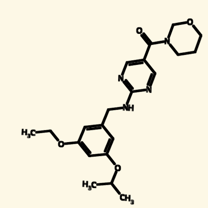 CCOc1cc(CNc2ncc(C(=O)N3CCCOC3)cn2)cc(OC(C)C)c1